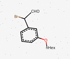 CCCCCCOc1cccc(C(Br)C=O)c1